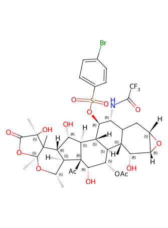 CC(=O)O[C@H]1[C@H]2[C@@H]([C@@H](OS(=O)(=O)c3ccc(Br)cc3)[C@H](NC(=O)C(F)(F)F)C3C[C@@H]4O[C@@H]4[C@H](O)[C@@]32C)[C@@H]2[C@@H](O)[C@@H]3[C@H]([C@H](C)O[C@@]4(C)OC(=O)[C@@](C)(O)C34C)[C@@]2(C(C)=O)[C@H]1O